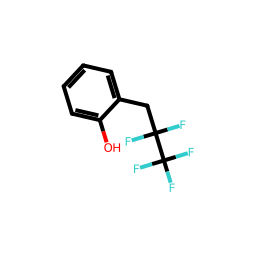 Oc1ccccc1CC(F)(F)C(F)(F)F